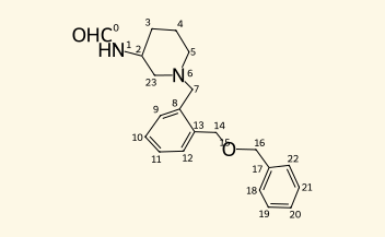 O=CNC1CCCN(Cc2ccccc2COCc2ccccc2)C1